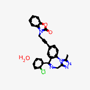 Cc1nnc2n1-c1ccc(C#CCn3c(=O)oc4ccccc43)cc1C(c1ccccc1Cl)=NC2.O